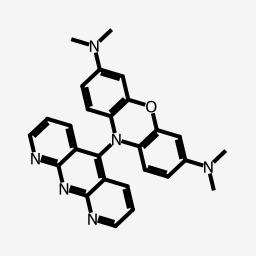 CN(C)c1ccc2c(c1)Oc1cc(N(C)C)ccc1N2c1c2cccnc2nc2ncccc12